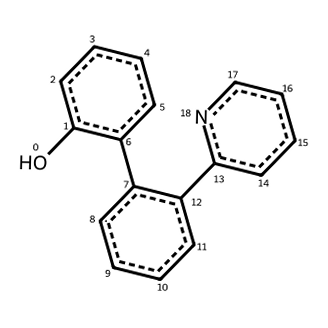 Oc1ccccc1-c1[c]cccc1-c1ccccn1